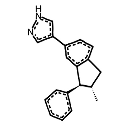 C[C@H]1Cc2ccc(-c3cn[nH]c3)cc2[C@@H]1c1ccccc1